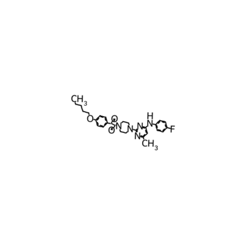 CCCCCOc1ccc(S(=O)(=O)N2CCN(c3nc(C)cc(Nc4ccc(F)cc4)n3)CC2)cc1